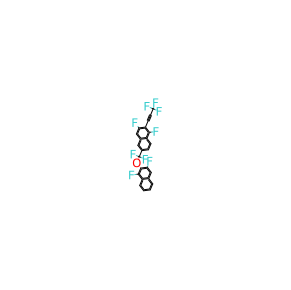 Fc1cc2cc(C(F)(F)Oc3c(F)cc4ccccc4c3F)ccc2c(F)c1C#CC(F)(F)F